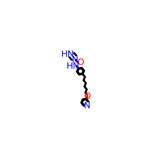 O=C(Nc1ccc(CCCCCCOc2cccnc2)cc1)N1CCNCC1